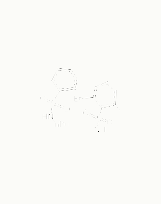 CCCCNS(=O)(=O)c1ccccc1.CCc1cccc(C)c1S(N)(=O)=O